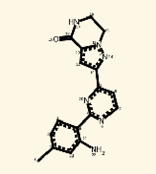 Cc1ccc(-c2nccc(-c3cc4n(n3)CCNC4=O)n2)c(N)c1